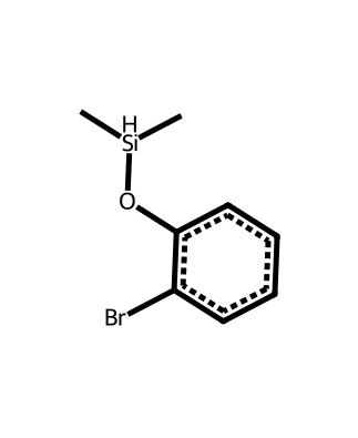 C[SiH](C)Oc1ccccc1Br